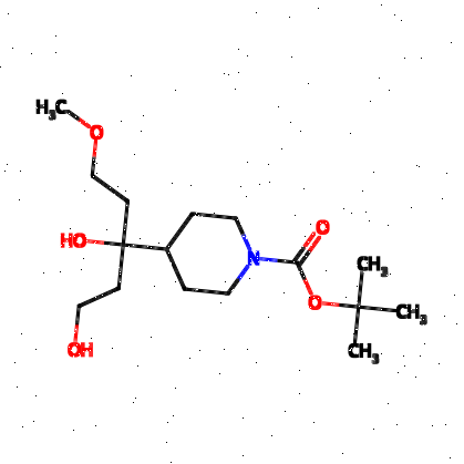 COCCC(O)(CCO)C1CCN(C(=O)OC(C)(C)C)CC1